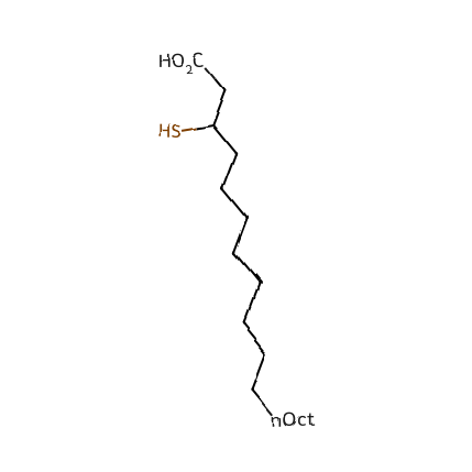 CCCCCCCCCCCCCCCCC(S)CC(=O)O